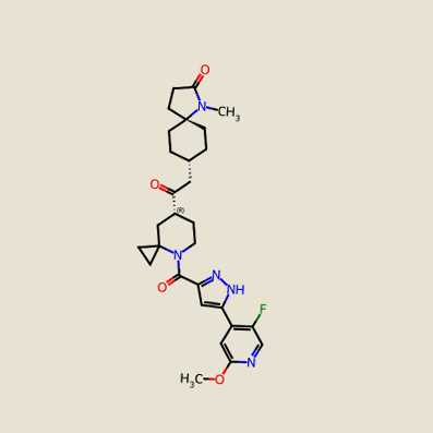 COc1cc(-c2cc(C(=O)N3CC[C@@H](C(=O)C[C@H]4CC[C@]5(CCC(=O)N5C)CC4)CC34CC4)n[nH]2)c(F)cn1